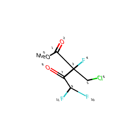 COC(=O)C(F)(CCl)C(=O)C(F)F